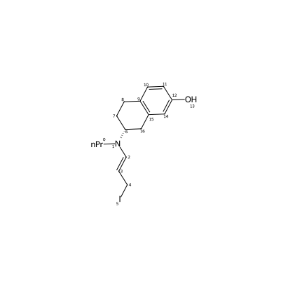 CCCN(/C=C/CI)[C@@H]1CCc2ccc(O)cc2C1